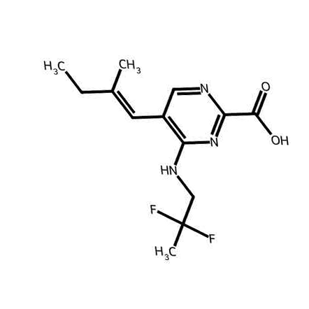 CC/C(C)=C/c1cnc(C(=O)O)nc1NCC(C)(F)F